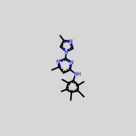 Cc1cn(-c2nc(C)cc(Nc3c(C)c(C)c(C)c(C)c3C)n2)cn1